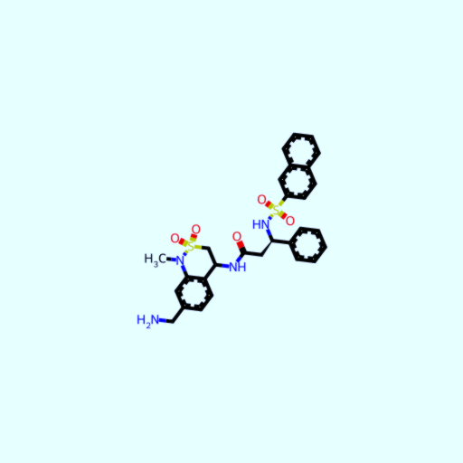 CN1c2cc(CN)ccc2C(NC(=O)C[C@@H](NS(=O)(=O)c2ccc3ccccc3c2)c2ccccc2)CS1(=O)=O